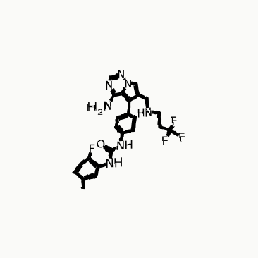 Cc1ccc(F)c(NC(=O)Nc2ccc(-c3c(CNCCC(F)(F)F)cn4ncnc(N)c34)cc2)c1